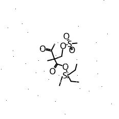 CC[Si](CC)(CC)OC(=O)C(C)(COS(C)(=O)=O)C(C)=O